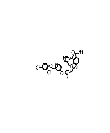 CCn1cncc1Cn1c(CN2C[C@@H](Oc3ccnc(COc4ccc(Cl)cc4Cl)c3)[C@@H]2C)nc2ccc(C(=O)O)cc21